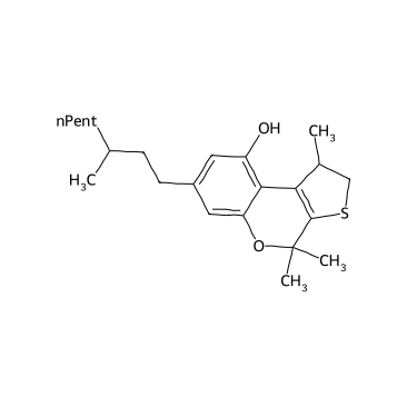 CCCCCC(C)CCc1cc(O)c2c(c1)OC(C)(C)C1=C2C(C)CS1